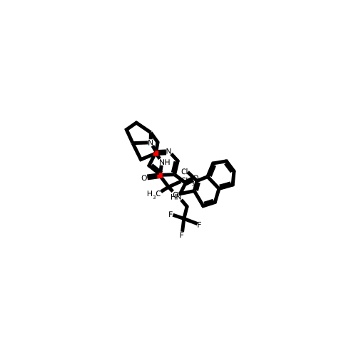 CC(C)(Oc1ccc2ccccc2c1Cl)C(=O)NC1CC2CCC(C1)N2c1ccc(C(=O)NCC(F)(F)F)cn1